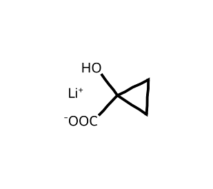 O=C([O-])C1(O)CC1.[Li+]